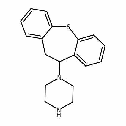 c1ccc2c(c1)CC(N1CCNCC1)c1ccccc1S2